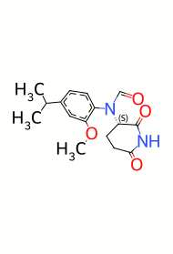 COc1cc(C(C)C)ccc1N(C=O)[C@H]1CCC(=O)NC1=O